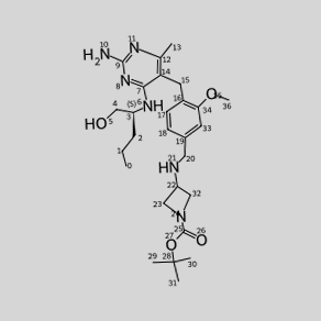 CCC[C@@H](CO)Nc1nc(N)nc(C)c1Cc1ccc(CNC2CN(C(=O)OC(C)(C)C)C2)cc1OC